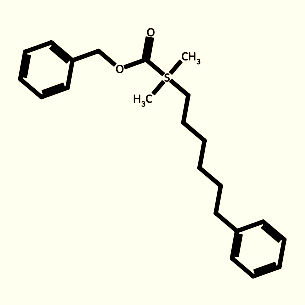 CS(C)(CCCCCCc1ccccc1)C(=O)OCc1ccccc1